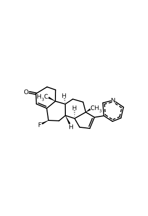 C[C@]12CCC(=O)C=C1[C@H](F)C[C@@H]1[C@@H]2CC[C@]2(C)C(c3cccnc3)=CC[C@@H]12